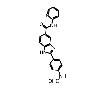 O=CNc1ccc(-c2nc3cc(C(=O)Nc4ccccn4)ccc3[nH]2)cc1